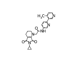 Cc1ccncc1-c1ccc(NC(=O)CN2CCCC3=C2C(=O)N(C2CC2)C3=O)cn1